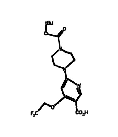 CC(C)(C)OC(=O)N1CCN(c2cc(OCC(F)(F)F)c(C(=O)O)cn2)CC1